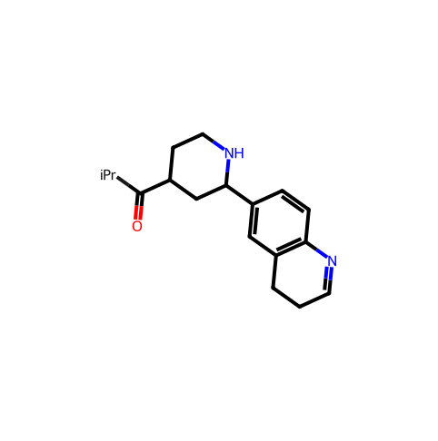 CC(C)C(=O)C1CCNC(c2ccc3c(c2)CCC=N3)C1